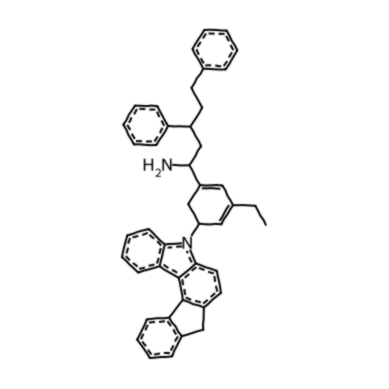 CCC1=CC(n2c3ccccc3c3c4c(ccc32)Cc2ccccc2-4)CC(C(N)CC(CCc2ccccc2)c2ccccc2)=C1